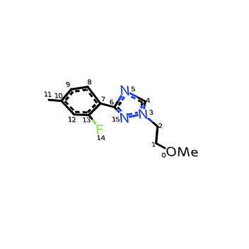 COCCn1cnc(-c2ccc(C)cc2F)n1